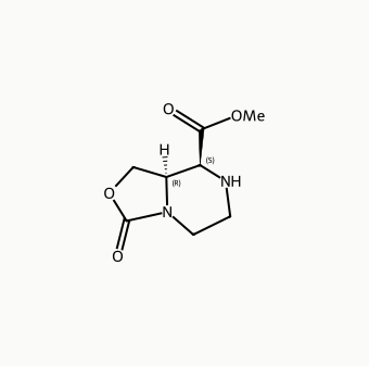 COC(=O)[C@H]1NCCN2C(=O)OC[C@@H]12